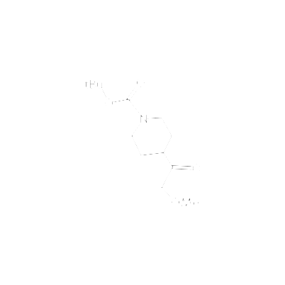 COCC(=O)C1CCN(C(=O)OC(C)(C)C)CC1